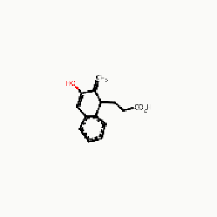 C=C1C(O)=Cc2ccccc2C1CCC(=O)O